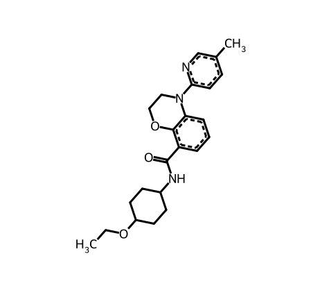 CCOC1CCC(NC(=O)c2cccc3c2OCCN3c2ccc(C)cn2)CC1